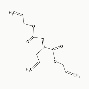 C=CCOC(=O)/C=C(\CC=C)C(=O)OCC=C